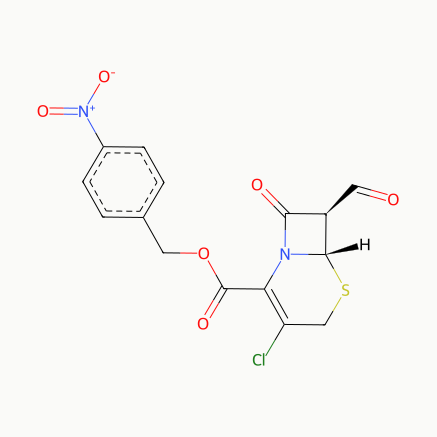 O=C[C@@H]1C(=O)N2C(C(=O)OCc3ccc([N+](=O)[O-])cc3)=C(Cl)CS[C@@H]12